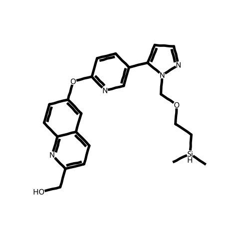 C[SiH](C)CCOCn1nccc1-c1ccc(Oc2ccc3nc(CO)ccc3c2)nc1